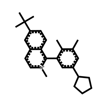 Cc1cc(C2CCCC2)cc(-c2c3ccc(C(C)(C)C)cc3cc[n+]2C)c1C